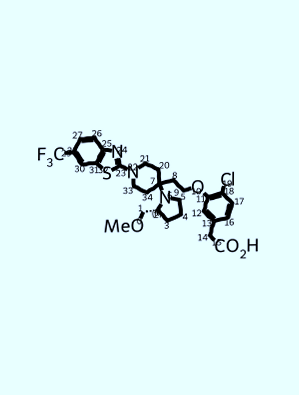 COC[C@H]1CCCN1C1(CCOc2cc(CC(=O)O)ccc2Cl)CCN(c2nc3ccc(C(F)(F)F)cc3s2)CC1